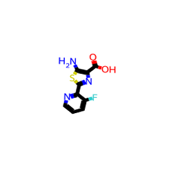 Nc1sc(-c2ncccc2F)nc1C(=O)O